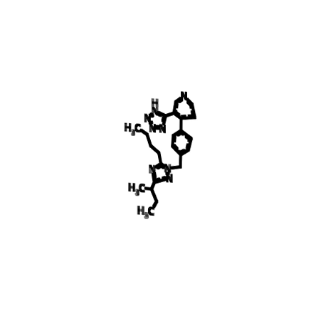 CCCCc1nc(C(C)CC)nn1Cc1ccc(-c2ccncc2-c2nnn[nH]2)cc1